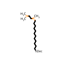 CCCCCCCCCCCCCCCCCCCCCCP(C)CCP(C)C